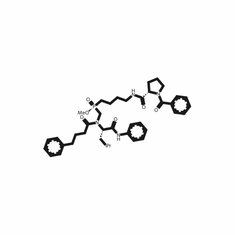 CO[P@](=O)(CCCCNC(=O)[C@@H]1CCCN1C(=O)c1ccccc1)CN(C(=O)CCCc1ccccc1)[C@@H](CC(C)C)C(=O)Nc1ccccc1